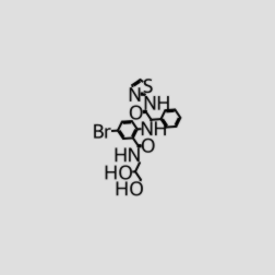 O=C(NCC(O)CO)c1cc(Br)ccc1NC(C(=O)Nc1nccs1)c1ccccc1